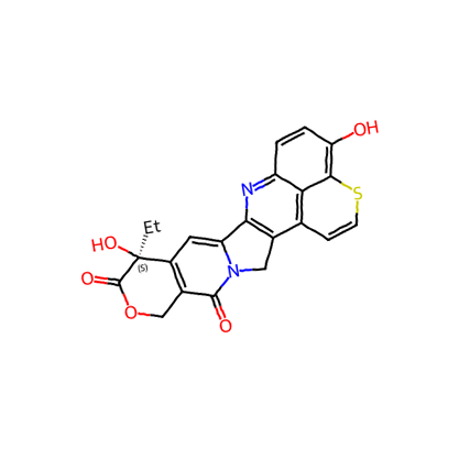 CC[C@@]1(O)C(=O)OCc2c1cc1n(c2=O)Cc2c-1nc1ccc(O)c3c1c2C=CS3